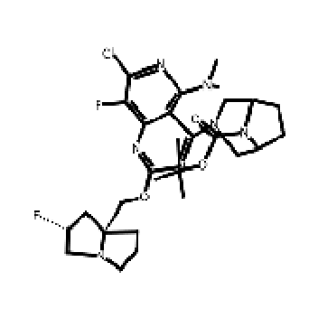 CN(C)c1nc(Cl)c(F)c2nc(OC[C@@]34CCCN3C[C@H](F)C4)nc(N3CC4CCC(C3)N4C(=O)OC(C)(C)C)c12